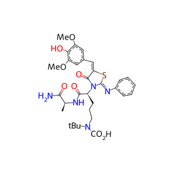 COc1cc(C=C2SC(=Nc3ccccc3)N([C@@H](CCCN(C(=O)O)C(C)(C)C)C(=O)N[C@@H](C)C(N)=O)C2=O)cc(OC)c1O